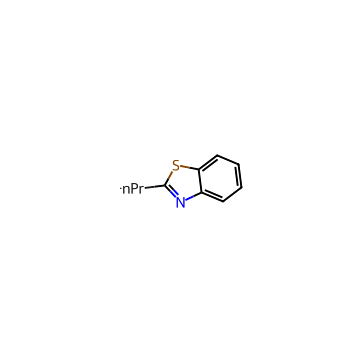 CC[CH]c1nc2ccccc2s1